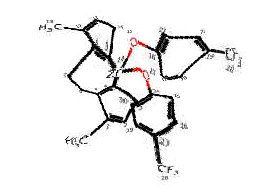 CC1=CC[C]2=C1CCC1=[C](CC=C1C)[Zr]2([O]c1ccc(C(F)(F)F)cc1)[O]c1ccc(C(F)(F)F)cc1